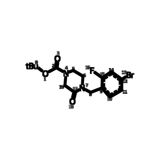 CC(C)(C)OC(=O)N1CCN(Cc2ccc(Br)cc2F)C(=O)C1